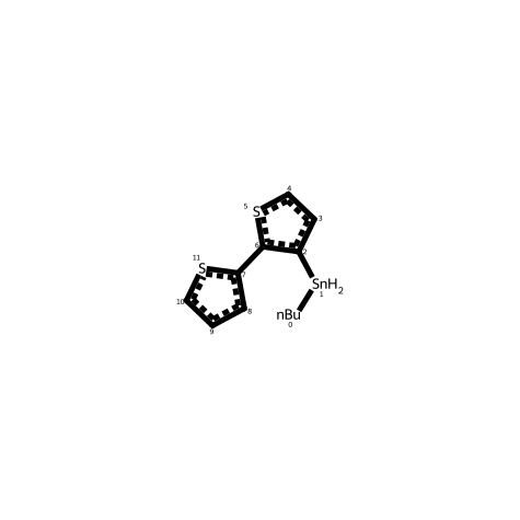 CCC[CH2][SnH2][c]1ccsc1-c1cccs1